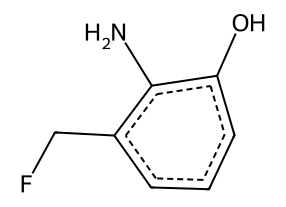 Nc1c(O)cccc1CF